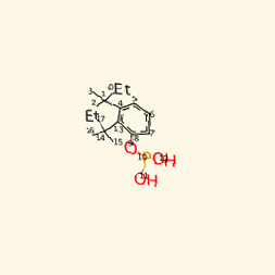 CCC(C)(C)c1cccc(OP(O)O)c1C(C)(C)CC